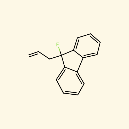 C=CCC1(F)c2ccccc2-c2ccccc21